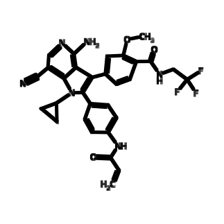 C=CC(=O)Nc1ccc(-c2c(-c3ccc(C(=O)NCC(F)(F)F)c(OC)c3)c3c(N)ncc(C#N)c3n2C2CC2)cc1